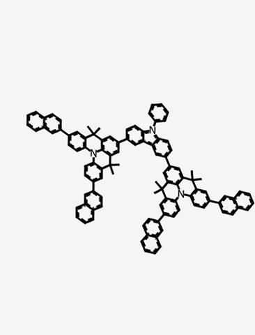 CC1(C)c2cc(-c3ccc4ccccc4c3)ccc2N2c3ccc(-c4ccc5ccccc5c4)cc3C(C)(C)c3cc(-c4ccc5c(c4)c4cc(-c6cc7c8c(c6)C(C)(C)c6cc(-c9ccc%10ccccc%10c9)ccc6N8c6ccc(-c8ccc9ccccc9c8)cc6C7(C)C)ccc4n5-c4ccccc4)cc1c32